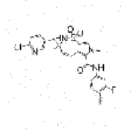 Cn1cc2c(c1C(=O)Nc1ccc(F)c(F)c1)C=CC(C)(Cc1ccc(Cl)nc1)NS2(=O)=O